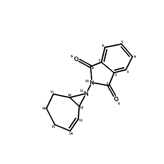 O=C1c2ccccc2C(=O)N1N1C2C=CCCCC21